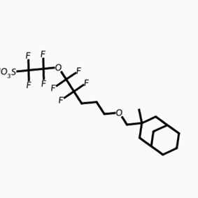 CC1(COCCCC(F)(F)C(F)(F)OC(F)(F)C(F)(F)S(=O)(=O)O)CC2CCCC(C2)C1